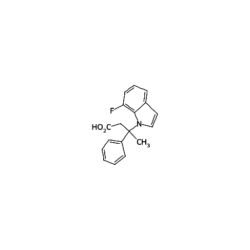 CC(CC(=O)O)(c1ccccc1)n1ccc2cccc(F)c21